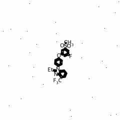 CCc1nc2c(C(F)(F)F)cccc2n1-c1ccc(Oc2cc(F)cc(S(C)(=O)=O)c2)cc1